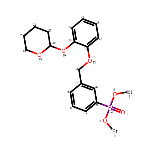 CCOP(=O)(OCC)c1cccc(COc2ccccc2OC2CCCCO2)c1